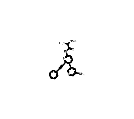 CNC(C)C(=O)Nc1ccc(-c2cncc(N)c2)c(C#Cc2ccccc2)n1